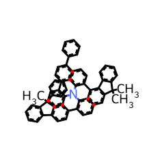 CC1(C)c2ccccc2-c2c(-c3ccccc3N(c3ccccc3-c3ccc(-c4ccccc4)cc3)c3ccccc3-c3ccc4c(c3)C(C)(c3ccccc3)c3ccccc3-4)cccc21